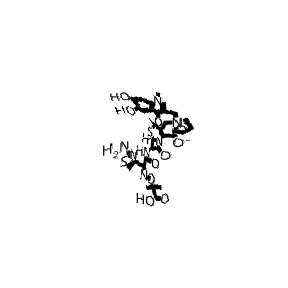 C[C@@H]1S[C@@H]2[C@H](NC(=O)/C(=N\OC(C)(C)C(=O)O)c3csc(N)n3)C(=O)N2C(C(=O)[O-])=C1C[N+]1(Cc2cn(C)c3cc(O)c(O)cc3c2=O)CCCC1